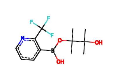 CC(C)(O)C(C)(C)OB(O)c1cccnc1C(F)(F)F